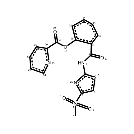 CS(=O)(=O)c1csc(NC(=O)c2ccccc2OC(=O)c2ccccn2)n1